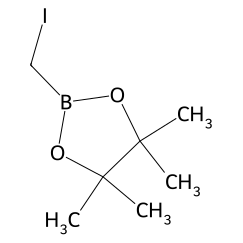 CC1(C)OB(CI)OC1(C)C